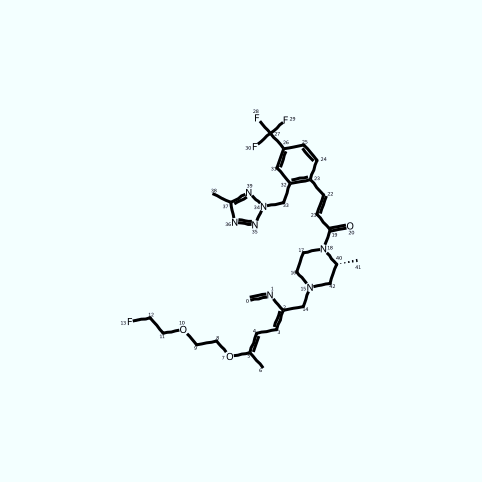 C=N/C(=C\C=C(/C)OCCOCCF)CN1CCN(C(=O)/C=C/c2ccc(C(F)(F)F)cc2Cn2nnc(C)n2)[C@H](C)C1